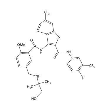 COc1ccc(CNC(C)(C)CO)cc1C(=O)Nc1c(C(=O)Nc2ccc(F)c(C(F)(F)F)c2)sc2cc(C(F)(F)F)ccc12